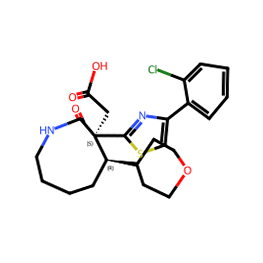 O=C(O)C[C@@]1(c2nc(-c3ccccc3Cl)cs2)C(=O)NCCCC[C@@H]1C1CCOCC1